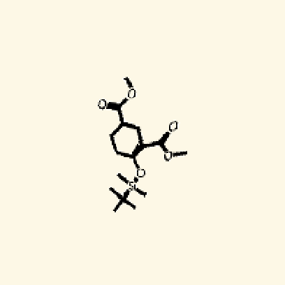 COC(=O)C1=C(O[Si](C)(C)C(C)(C)C)CCC(C(=O)OC)C1